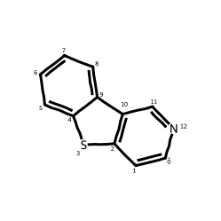 [c]1cc2sc3ccccc3c2cn1